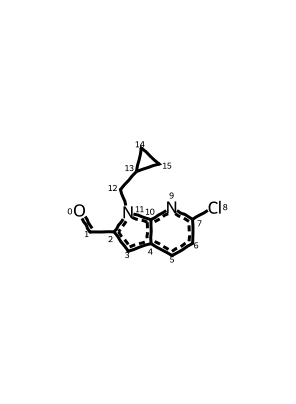 O=Cc1cc2ccc(Cl)nc2n1CC1CC1